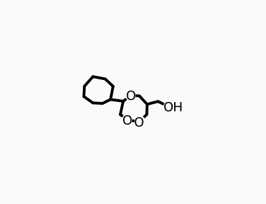 OCC1COOCC(C2CCCCCCC2)OC1